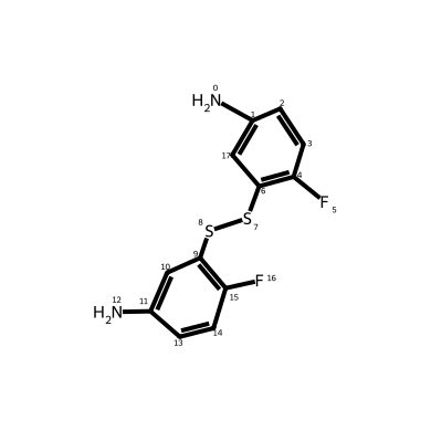 Nc1ccc(F)c(SSc2cc(N)ccc2F)c1